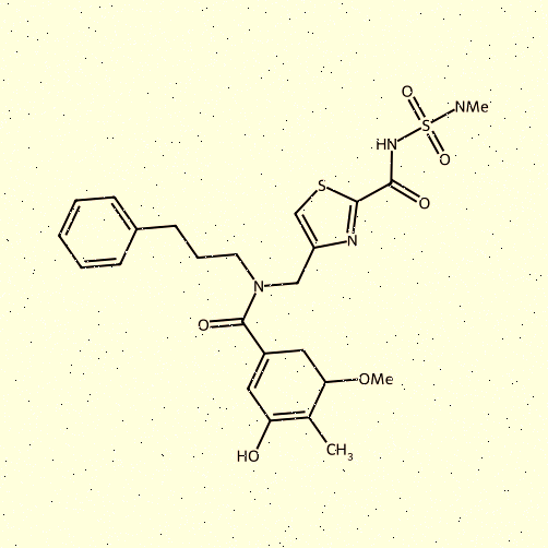 CNS(=O)(=O)NC(=O)c1nc(CN(CCCc2ccccc2)C(=O)C2=CC(O)=C(C)C(OC)C2)cs1